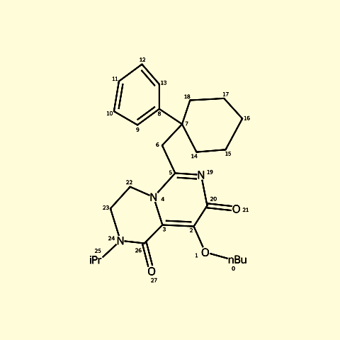 CCCCOc1c2n(c(CC3(c4ccccc4)CCCCC3)nc1=O)CCN(C(C)C)C2=O